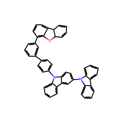 C1=CC2Oc3c(-c4cccc(-c5ccc(-n6c7ccccc7c7cc(-n8c9ccccc9c9ccccc98)ccc76)cc5)c4)cccc3C2C=C1